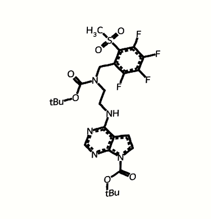 CC(C)(C)OC(=O)N(CCNc1ncnc2c1ccn2C(=O)OC(C)(C)C)Cc1c(F)c(F)c(F)c(F)c1S(C)(=O)=O